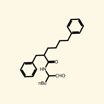 CCCCC([C]=O)NC(=O)C(CCCCc1ccccc1)Cc1ccccc1